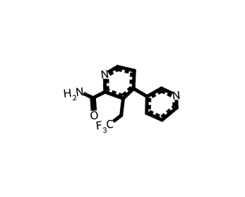 NC(=O)c1nccc(-c2cccnc2)c1CC(F)(F)F